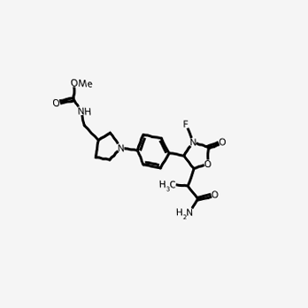 COC(=O)NCC1CCN(c2ccc(C3C(C(C)C(N)=O)OC(=O)N3F)cc2)C1